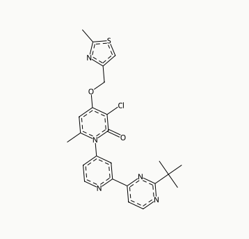 Cc1nc(COc2cc(C)n(-c3ccnc(-c4ccnc(C(C)(C)C)n4)c3)c(=O)c2Cl)cs1